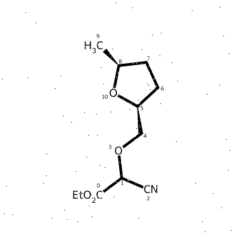 CCOC(=O)C(C#N)OC[C@@H]1CC[C@H](C)O1